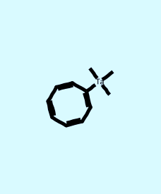 [CH3][Ta]([CH3])([CH3])[C]1=CC=CC=CC=C1